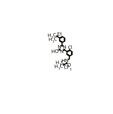 CCC(C)(C)c1cccc(-c2nc(O)nc(-c3cc(CNC(=O)C(C)(C)C(F)(F)F)ccc3Cl)n2)c1